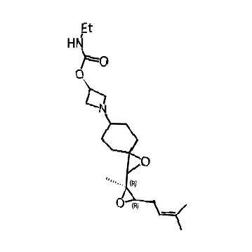 CCNC(=O)OC1CN(C2CCC3(CC2)OC3[C@]2(C)O[C@@H]2CC=C(C)C)C1